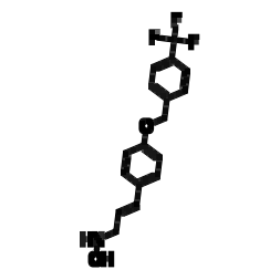 ONCC=Cc1ccc(OCc2ccc(C(F)(F)F)cc2)cc1